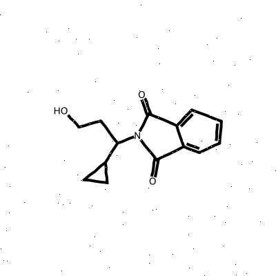 O=C1c2ccccc2C(=O)N1C(CCO)C1CC1